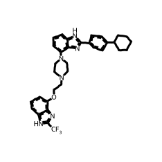 FC(F)(F)c1nc2c(OCCN3CCN(c4cccc5[nH]c(-c6ccc(C7CCCCC7)cc6)nc45)CC3)cccc2[nH]1